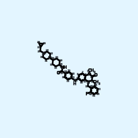 CC1C(=O)N(C)c2ccc(Nc3ccc(C(=O)NC4CCC(N5CCN(CC6CC6)CC5)CC4)cc3)cc2N1Cc1c(F)cccc1F